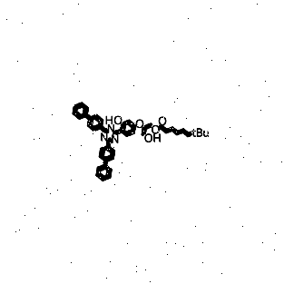 CC(C)(C)CCCCCC(=O)OCC(CO)Oc1ccc(-c2nc(-c3ccc(-c4ccccc4)cc3)nc(-c3ccc(-c4ccccc4)cc3)n2)c(O)c1